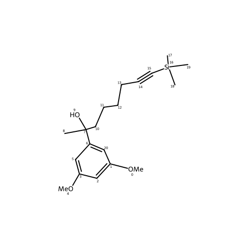 COc1cc(OC)cc(C(C)(O)CCCCC#C[Si](C)(C)C)c1